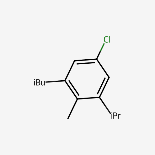 CCC(C)c1cc(Cl)cc(C(C)C)c1C